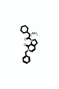 N[C@H](C(=O)N1CCc2ccn(Cc3ccccc3)c(=O)c21)C1CCCCC1